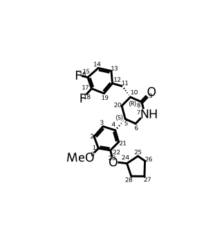 COc1ccc([C@H]2CNC(=O)[C@@H](Cc3ccc(F)c(F)c3)C2)cc1OC1CCCC1